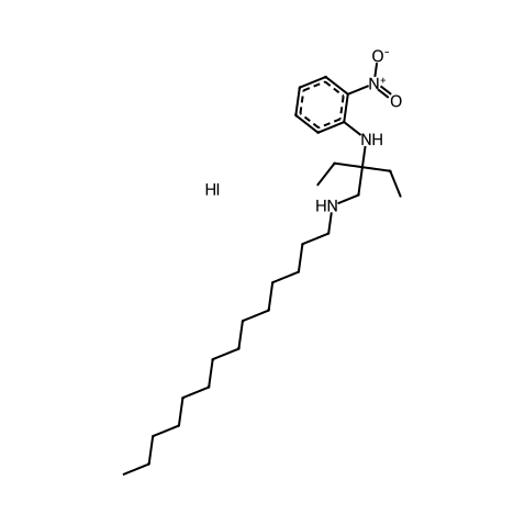 CCCCCCCCCCCCCCNCC(CC)(CC)Nc1ccccc1[N+](=O)[O-].I